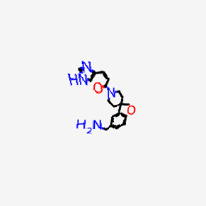 NCc1ccc2c(c1)C1(CCN(C(=O)/C=C\c3c[nH]cn3)CC1)CO2